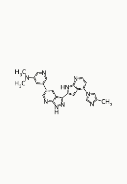 Cc1cn(-c2ccnc3[nH]c(-c4n[nH]c5ncc(-c6cncc(N(C)C)c6)cc45)cc23)cn1